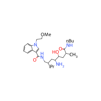 CCCCNC(=O)C(C)CC(O)C(N)CC(CNC(=O)c1cn(CCOC)c2ccccc12)C(C)C